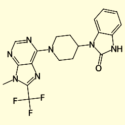 Cn1c(C(F)(F)F)nc2c(N3CCC(n4c(=O)[nH]c5ccccc54)CC3)ncnc21